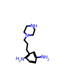 Nc1ccc(N)c(CCCN2CCNCC2)c1